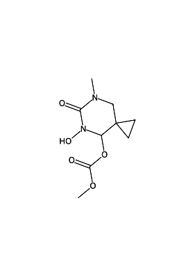 COC(=O)OC1N(O)C(=O)N(C)CC12CC2